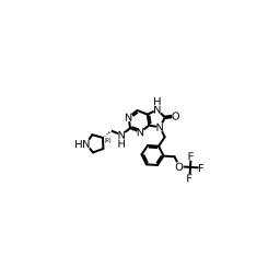 O=c1[nH]c2cnc(NC[C@@H]3CCNC3)nc2n1Cc1ccccc1COC(F)(F)F